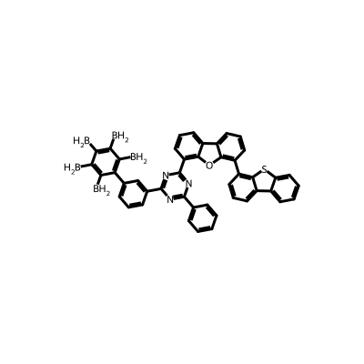 Bc1c(B)c(B)c(-c2cccc(-c3nc(-c4ccccc4)nc(-c4cccc5c4oc4c(-c6cccc7c6sc6ccccc67)cccc45)n3)c2)c(B)c1B